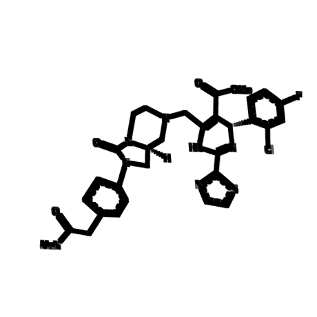 CNC(=O)Cc1ccc(N2C[C@@H]3CN(CC4=C(C(=O)OC)[C@H](c5ccc(F)cc5Cl)N=C(c5nccs5)N4)CCN3C2=O)cc1